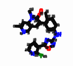 Cc1cc2c(cn1)cc(-c1cc(Nc3noc(-c4cccnc4F)n3)ccc1C)c(=O)n2C